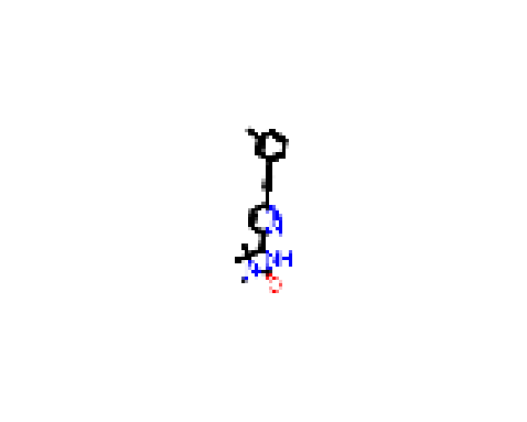 Cc1cccc(C#Cc2ccc(C3NC(=O)N(C)C3(C)C)nn2)c1